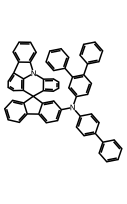 c1ccc(-c2ccc(N(c3ccc(-c4ccccc4)c(-c4ccccc4)c3)c3ccc4c(c3)C3(c5ccccc5-4)c4ccccc4-n4c5ccccc5c5cccc3c54)cc2)cc1